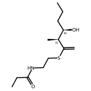 C=C(SCCNC(=O)CC)[C@@H](C)[C@H](O)CCC